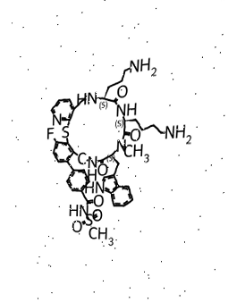 CN1C(=O)[C@H](CCCCN)NC(=O)[C@H](CCCN)NCc2cccnc2Sc2c(F)ccc(-c3ccc(C(=O)NS(C)(=O)=O)cc3)c2CNC(=O)[C@@H]1Cc1c[nH]c2ccccc12